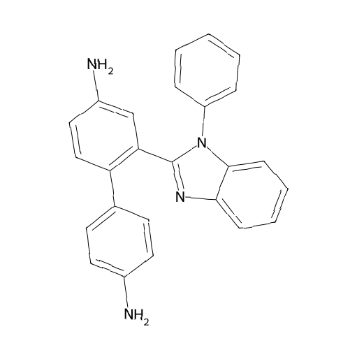 Nc1ccc(-c2ccc(N)cc2-c2nc3ccccc3n2-c2ccccc2)cc1